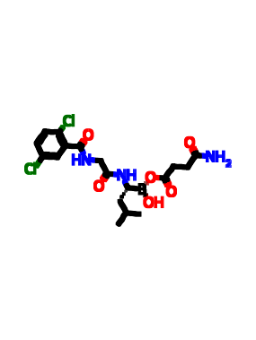 CC(C)C[C@H](NC(=O)CNC(=O)c1cc(Cl)ccc1Cl)B(O)OC(=O)CCC(N)=O